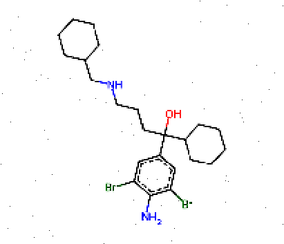 Nc1c(Br)cc(C(O)(CCCNCC2CCCCC2)C2CCCCC2)cc1Br